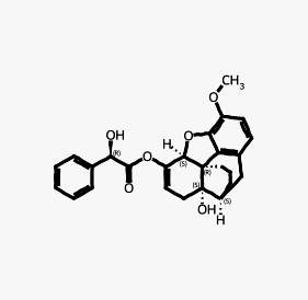 COc1ccc2c3c1O[C@@H]1C(OC(=O)[C@H](O)c4ccccc4)=CC[C@]4(O)[C@@H](CCC[C@@]314)C2